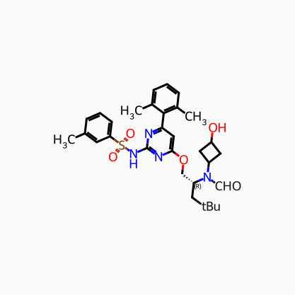 Cc1cccc(S(=O)(=O)Nc2nc(OC[C@@H](CC(C)(C)C)N(C=O)C3CC(O)C3)cc(-c3c(C)cccc3C)n2)c1